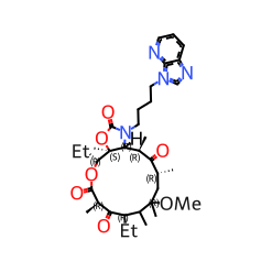 CC[C@H]1C(=O)[C@@H](C)C(=O)O[C@H](CC)[C@@]2(C)OC(=O)N(CCCCn3cnc4cccnc43)[C@@H]2[C@@H](C)C(=O)[C@H](C)C[C@@](C)(OC)C1C